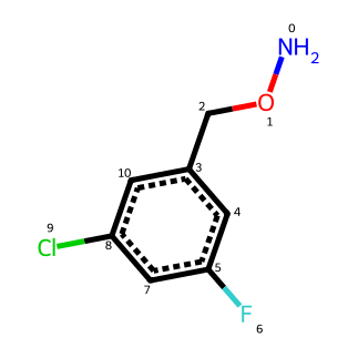 NOCc1cc(F)cc(Cl)c1